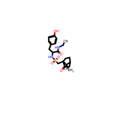 CC1(C)C2CCC1(CS(=O)(=O)NC(Cc1ccc(O)cc1)C(=O)NCC#N)C(=O)C2